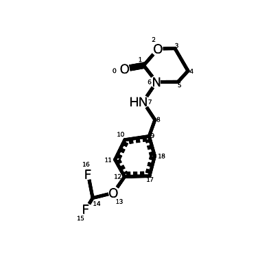 O=C1OCCCN1NCc1ccc(OC(F)F)cc1